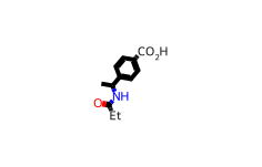 CCC(=O)NC(C)c1ccc(C(=O)O)cc1